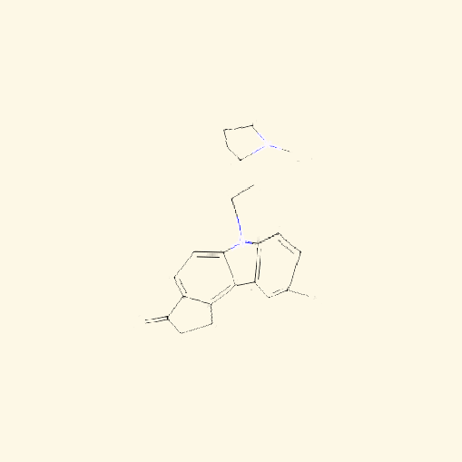 C=C1CCc2c1ccc1c2c2cc(C(C)=O)ccc2n1CC[C@@H]1CCCN1C